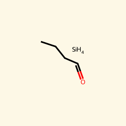 CCCC=O.[SiH4]